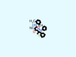 Cc1cccc(C)c1NC(=O)C(C#N)C(=O)c1nn(-c2ccccc2)c2c1CSc1ccccc1-2